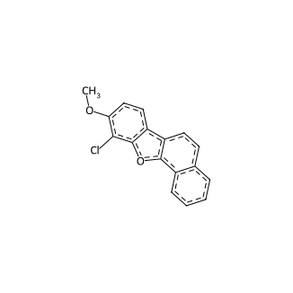 COc1ccc2c(oc3c4ccccc4ccc23)c1Cl